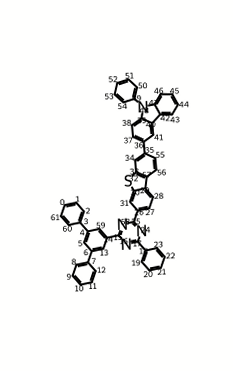 c1ccc(-c2cc(-c3ccccc3)cc(-c3nc(-c4ccccc4)nc(-c4ccc5c(c4)sc4cc(-c6ccc7c(c6)c6ccccc6n7-c6ccccc6)ccc45)n3)c2)cc1